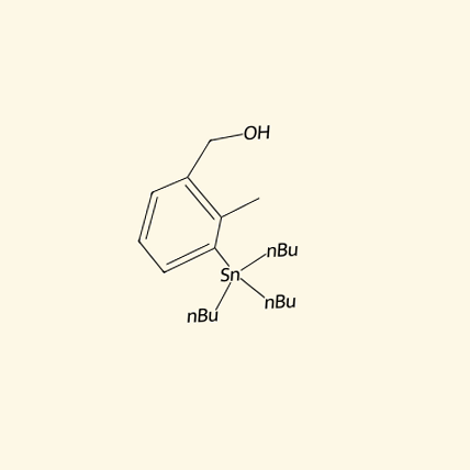 CCC[CH2][Sn]([CH2]CCC)([CH2]CCC)[c]1cccc(CO)c1C